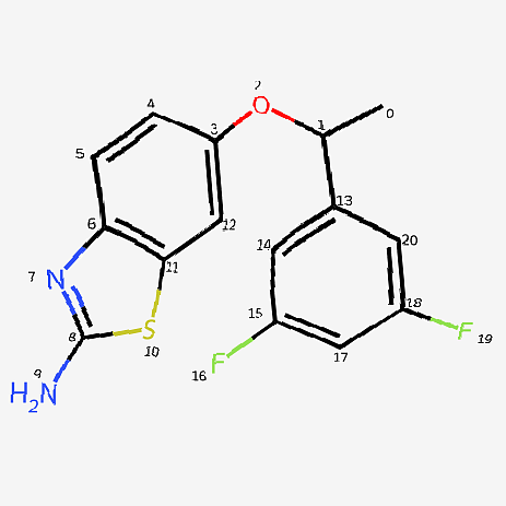 CC(Oc1ccc2nc(N)sc2c1)c1cc(F)cc(F)c1